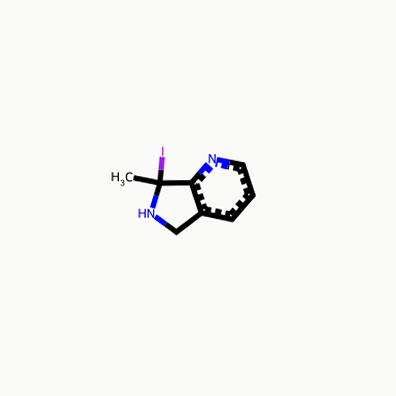 CC1(I)NCc2cccnc21